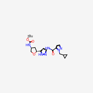 CC(C)(C)OC(=O)N[C@@H]1CO[C@H](c2cc(NC(=O)c3ccnn3CC3CC3)n[nH]2)C1